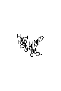 Cc1ccc(C(=O)NC[C@H](NC(=O)c2ccc(N3CCOCC3)nc2)C(=O)N[C@@H](CC(C)C)B2O[C@@H]3C[C@@H]4C[C@@H](C4(C)C)[C@]3(C)O2)cc1